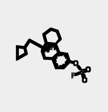 O=S(=O)(F)Oc1ccc2c(c1)[C@@]13CCCC[C@@]1(O)C(C2)N(CC1CCC1)CC3